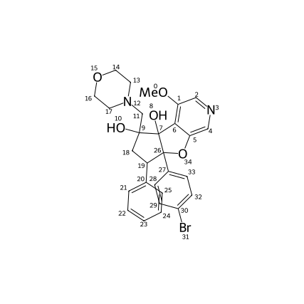 COc1cncc2c1C1(O)C(O)(CN3CCOCC3)CC(c3ccccc3)C1(c1ccc(Br)cc1)O2